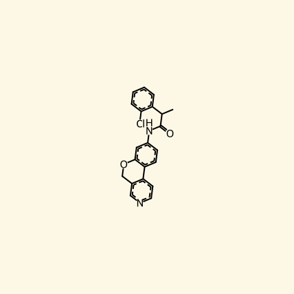 CC(C(=O)Nc1ccc2c(c1)OCc1cnccc1-2)c1ccccc1Cl